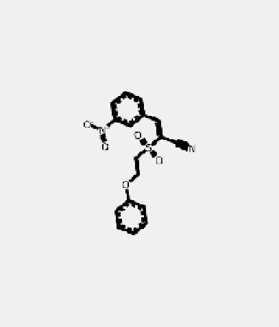 N#CC(=Cc1cccc([N+](=O)[O-])c1)S(=O)(=O)CCOc1ccccc1